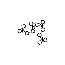 c1cc(-c2cccc(-n3c4ccccc4c4cc5c6ccccc6n(-c6cccc(-c7cccc(-n8c9ccccc9c9ccccc98)c7)c6)c5cc43)c2)cc(-n2c3ccccc3c3ccccc32)c1